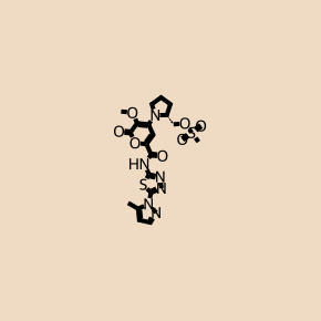 COc1c(N2CCC[C@@H]2COS(C)(=O)=O)cc(C(=O)Nc2nnc(-n3nccc3C)s2)oc1=O